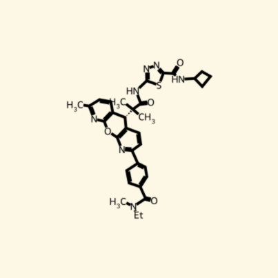 CCN(C)C(=O)c1ccc(-c2ccc3c(n2)Oc2nc(C)ccc2[C@@H]3C(C)(C)C(=O)Nc2nnc(C(=O)NC3CCC3)s2)cc1